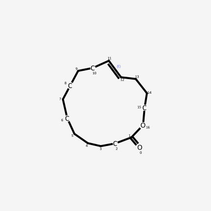 O=C1CCCCCCCCC/C=C/CCCO1